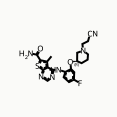 Cc1c(C(N)=O)sc2ncnc(Nc3ccc(F)cc3O[C@@H]3CCCN(CCC#N)C3)c12